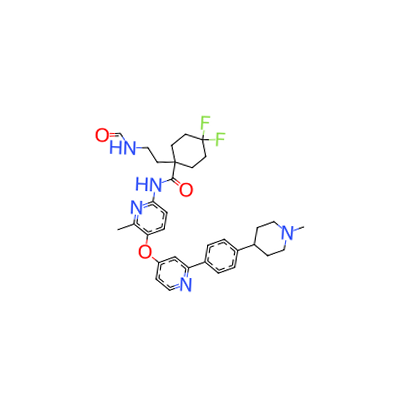 Cc1nc(NC(=O)C2(CCNC=O)CCC(F)(F)CC2)ccc1Oc1ccnc(-c2ccc(C3CCN(C)CC3)cc2)c1